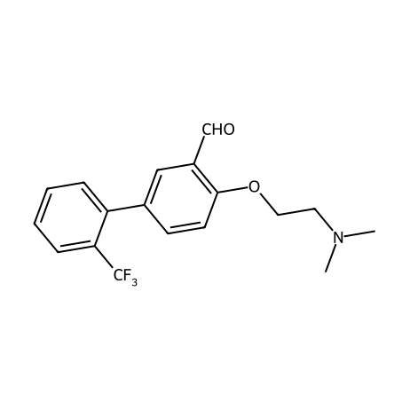 CN(C)CCOc1ccc(-c2ccccc2C(F)(F)F)cc1C=O